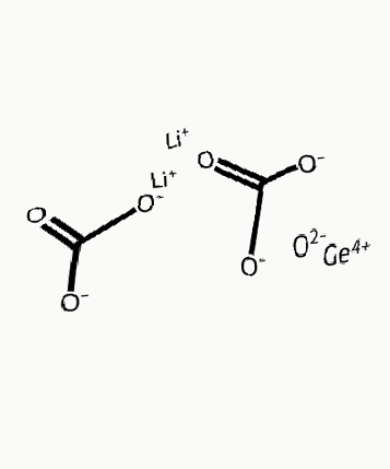 O=C([O-])[O-].O=C([O-])[O-].[Ge+4].[Li+].[Li+].[O-2]